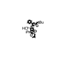 CC(C)N1C(=O)N(CC2CC2)C(=O)C12CCN(C[C@H]1CN(C(=O)CC(C)(C)C)C[C@@H]1c1ccccc1)CC2.Cl